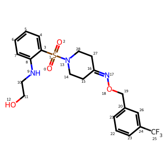 O=S(=O)(c1ccccc1NCCO)N1CCC(=NOCc2cccc(C(F)(F)F)c2)CC1